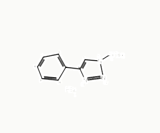 Br.CCCCCCn1cc(-c2ccccc2)nn1